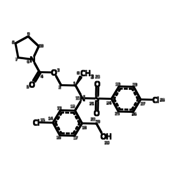 C[C@H](COC(=O)N1CCCC1)N(c1cc(Cl)ccc1CO)S(=O)(=O)c1ccc(Cl)cc1